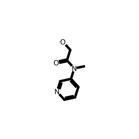 CN(C(=O)C[O])c1cccnc1